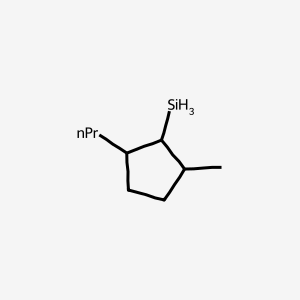 CCCC1CCC(C)C1[SiH3]